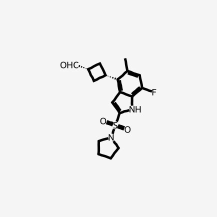 Cc1cc(F)c2[nH]c(S(=O)(=O)N3CCCC3)cc2c1[C@H]1C[C@@H](C=O)C1